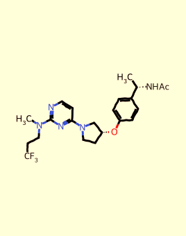 CC(=O)N[C@@H](C)c1ccc(O[C@@H]2CCN(c3ccnc(N(C)CCC(F)(F)F)n3)C2)cc1